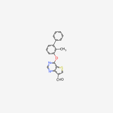 Cc1c(Oc2ncnc3c(C=O)csc23)cccc1-c1ccccc1